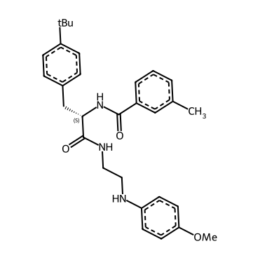 COc1ccc(NCCNC(=O)[C@H](Cc2ccc(C(C)(C)C)cc2)NC(=O)c2cccc(C)c2)cc1